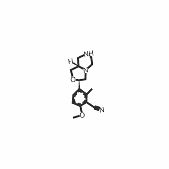 COc1ccc([C@@H]2CN3CCNC[C@H]3CO2)c(C)c1C#N